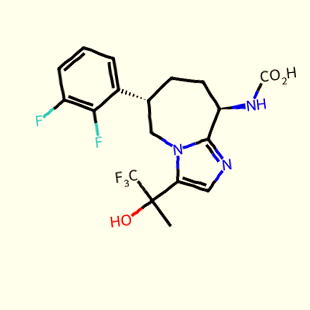 CC(O)(c1cnc2n1C[C@H](c1cccc(F)c1F)CC[C@H]2NC(=O)O)C(F)(F)F